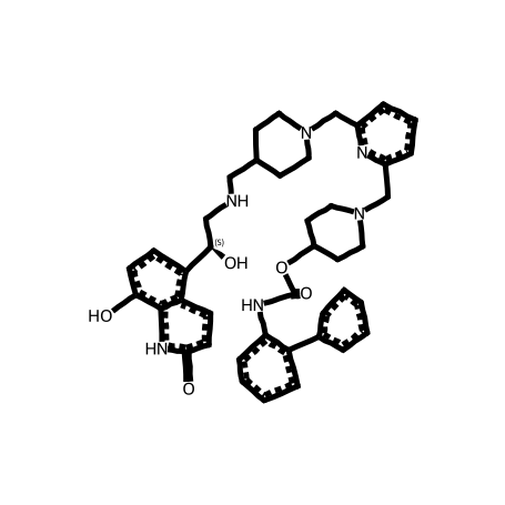 O=C(Nc1ccccc1-c1ccccc1)OC1CCN(Cc2cccc(CN3CCC(CNC[C@@H](O)c4ccc(O)c5[nH]c(=O)ccc45)CC3)n2)CC1